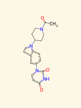 CC(=O)N1CCC(n2ccc3cc(-n4ccc(=O)[nH]c4=O)ccc32)CC1